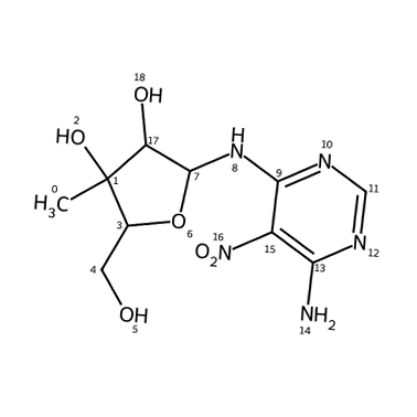 CC1(O)C(CO)OC(Nc2ncnc(N)c2[N+](=O)[O-])C1O